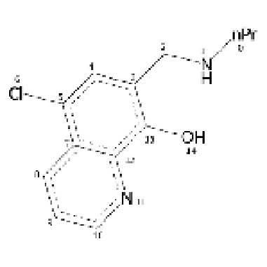 CCCNCc1cc(Cl)c2cccnc2c1O